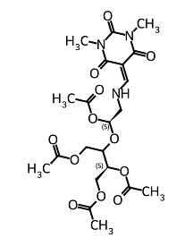 CC(=O)OCC(O[C@H](CNC=C1C(=O)N(C)C(=O)N(C)C1=O)OC(C)=O)[C@H](COC(C)=O)OC(C)=O